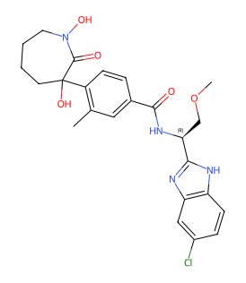 COC[C@H](NC(=O)c1ccc(C2(O)CCCCN(O)C2=O)c(C)c1)c1nc2cc(Cl)ccc2[nH]1